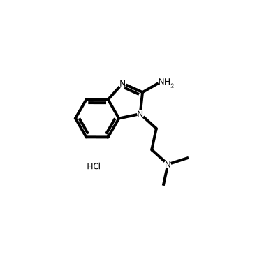 CN(C)CCn1c(N)nc2ccccc21.Cl